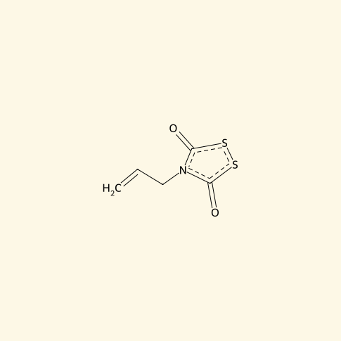 C=CCn1c(=O)ssc1=O